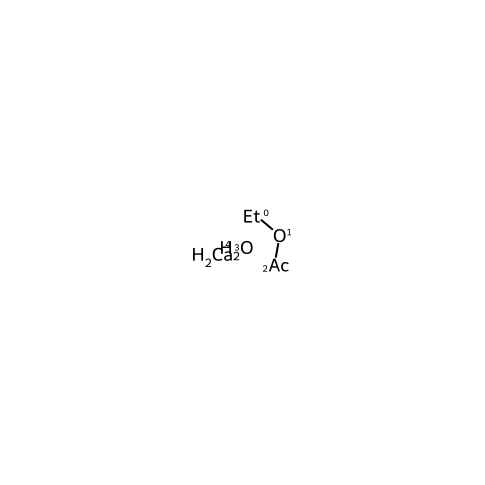 CCOC(C)=O.O.[CaH2]